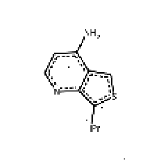 CC(C)c1scc2c(N)ccnc12